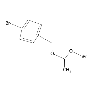 CC(C)OC(C)OCc1ccc(Br)cc1